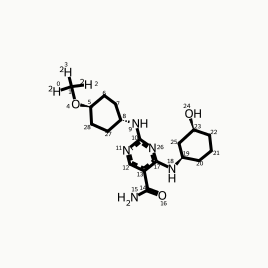 [2H]C([2H])([2H])O[C@H]1CC[C@H](Nc2ncc(C(N)=O)c(N[C@@H]3CCC[C@H](O)C3)n2)CC1